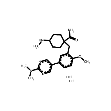 CNC1CCC(Cc2cc(-c3cnc(N(C)C)nc3)ccc2OC)(C(N)=O)CC1.Cl.Cl